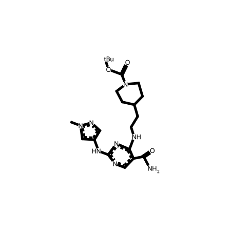 Cn1cc(Nc2ncc(C(N)=O)c(NCCC3CCN(C(=O)OC(C)(C)C)CC3)n2)cn1